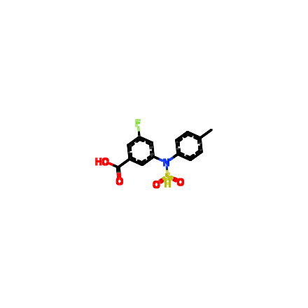 Cc1ccc(N(c2cc(F)cc(C(=O)O)c2)[SH](=O)=O)cc1